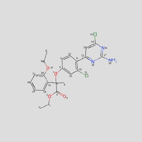 CCOC(=O)C(C)(Oc1ccc(-c2cc(Cl)nc(N)n2)c(Cl)c1)c1ccccc1OCC